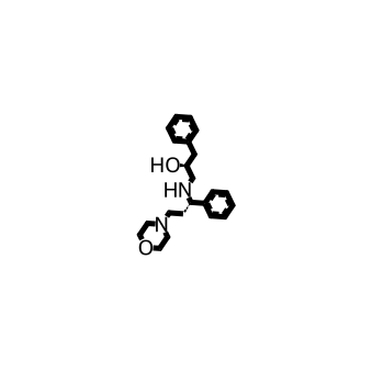 O[C@H](CN[C@@H](CCN1CCOCC1)c1ccccc1)Cc1ccccc1